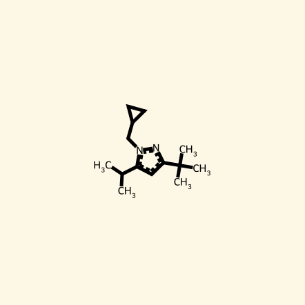 CC(C)c1cc(C(C)(C)C)nn1CC1CC1